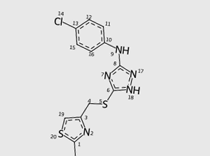 Cc1nc(CSc2nc(Nc3ccc(Cl)cc3)n[nH]2)cs1